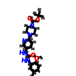 COc1ccc(C)cc1NC(=O)Nc1ccc(N2CCN(C(=O)OC(C)(C)C)CC2)nc1